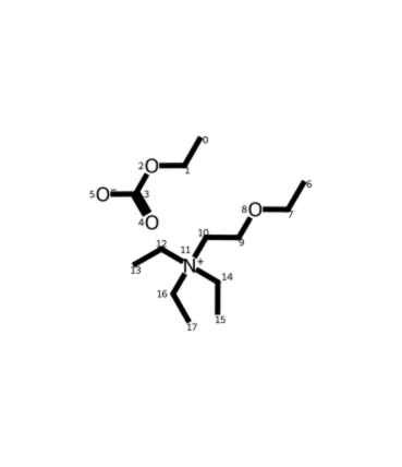 CCOC(=O)[O-].CCOCC[N+](CC)(CC)CC